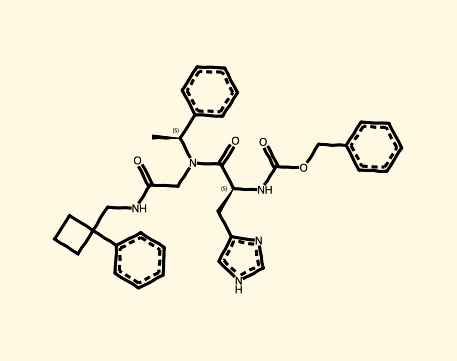 C[C@@H](c1ccccc1)N(CC(=O)NCC1(c2ccccc2)CCC1)C(=O)[C@H](Cc1c[nH]cn1)NC(=O)OCc1ccccc1